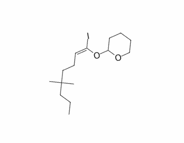 CCCC(C)(C)CC/C=C(/I)OC1CCCCO1